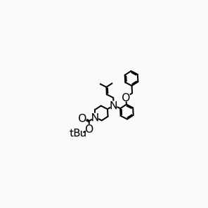 CC(C)=CCN(c1ccccc1OCc1ccccc1)C1CCN(C(=O)OC(C)(C)C)CC1